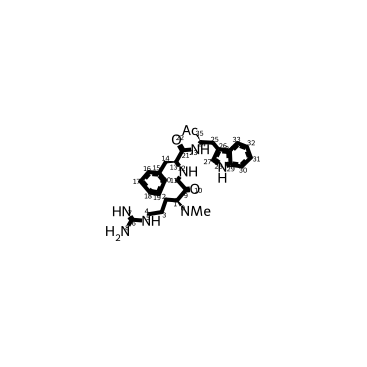 CN[C@@H](CCCNC(=N)N)C(=O)CN[C@@H](Cc1ccccc1)C(=O)N[C@@H](Cc1c[nH]c2ccccc12)C(C)=O